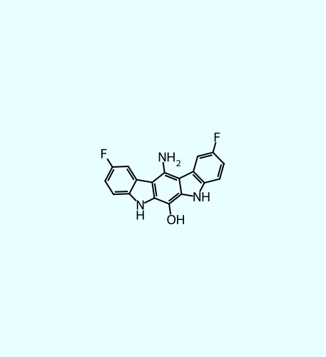 Nc1c2c([nH]c3ccc(F)cc32)c(O)c2[nH]c3ccc(F)cc3c12